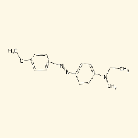 CCN(C)c1ccc(N=Nc2ccc(OC)cc2)cc1